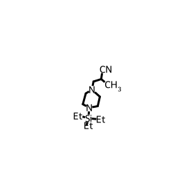 CC[Si](CC)(CC)N1CCN(CC(C)C#N)CC1